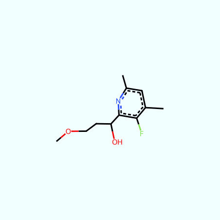 COCCC(O)c1nc(C)cc(C)c1F